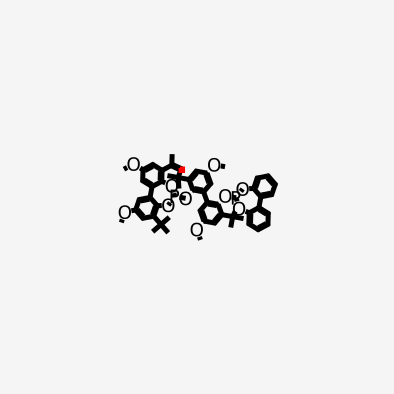 C=C(C)c1cc(OC)cc2c1op(Oc1c(-c3cc(OC)cc(C(C)(C)C)c3Op3oc4ccccc4c4ccccc4o3)cc(OC)cc1C(C)(C)C)oc1c(C(C)(C)C)cc(OC)cc12